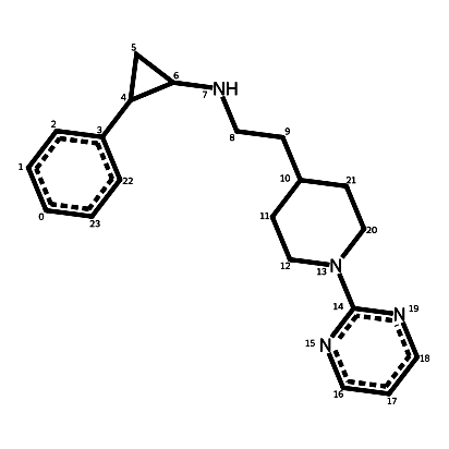 c1ccc(C2CC2NCCC2CCN(c3ncccn3)CC2)cc1